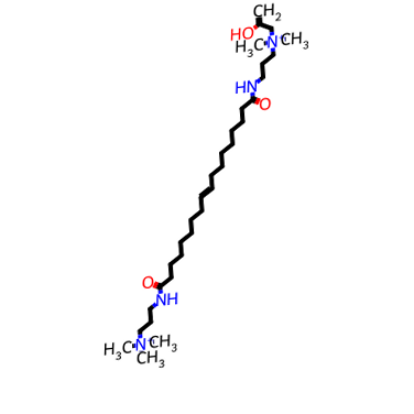 C=C(O)C[N+](C)(C)CCCNC(=O)CCCCCCC/C=C/CCCCCCCC(=O)NCCC[N+](C)(C)C